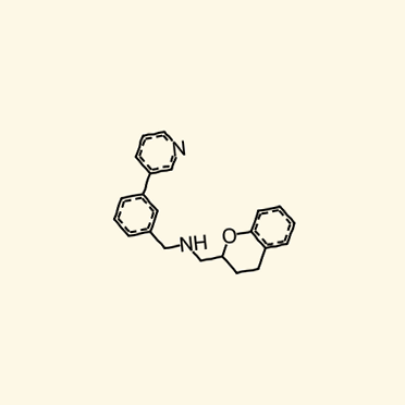 c1cncc(-c2cccc(CNCC3CCc4ccccc4O3)c2)c1